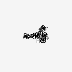 C[C@@H](O)[C@H]1C(=O)N2C(C(=O)O)=C(S[C@H]3C[C@@H](CCN(C)C(=O)OCc4ccc([N+](=O)[O-])cc4)N(C(=O)OCc4ccc([N+](=O)[O-])cc4)C3)[C@H](C)[C@H]12